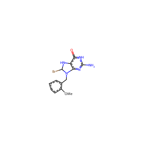 COc1ccccc1CN1c2nc(N)[nH]c(=O)c2NC1Br